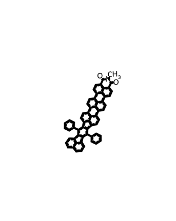 CN1C(=O)c2ccc3c4ccc5c6ccc7c8c(-c9ccccc9)c9c%10cccc%11cccc(c9c(-c9ccccc9)c8c8ccc(c9ccc(c%12ccc(c2c3%12)C1=O)c4c59)c6c78)c%11%10